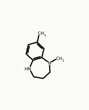 Cc1ccc2c(c1)N(C)CCCN2